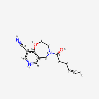 C=CCCC(=O)N1CCOc2c(C#N)cncc2C1